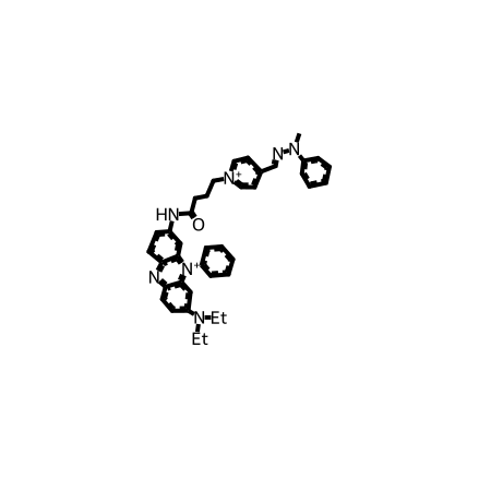 CCN(CC)c1ccc2nc3ccc(NC(=O)CCC[n+]4ccc(/C=N/N(C)c5ccccc5)cc4)cc3[n+](-c3ccccc3)c2c1